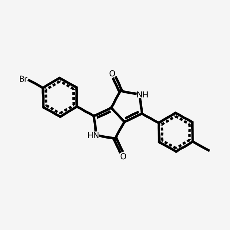 Cc1ccc(C2=C3C(=O)NC(c4ccc(Br)cc4)=C3C(=O)N2)cc1